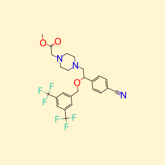 COC(=O)CN1CCN(CC(OCc2cc(C(F)(F)F)cc(C(F)(F)F)c2)c2ccc(C#N)cc2)CC1